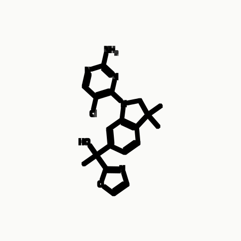 CC1(C)CN(c2nc(N)ncc2Cl)c2cc(C(C)(O)c3ncco3)ccc21